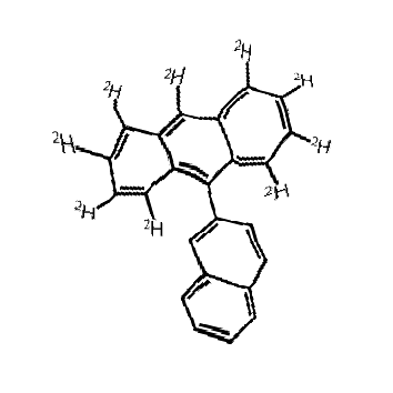 [2H]c1c([2H])c([2H])c2c(-c3ccc4ccccc4c3)c3c([2H])c([2H])c([2H])c([2H])c3c([2H])c2c1[2H]